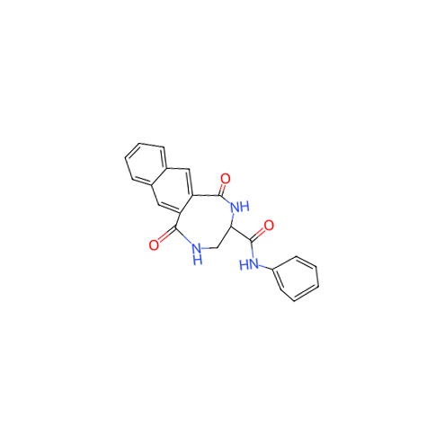 O=C1NCC(C(=O)Nc2ccccc2)NC(=O)c2cc3ccccc3cc21